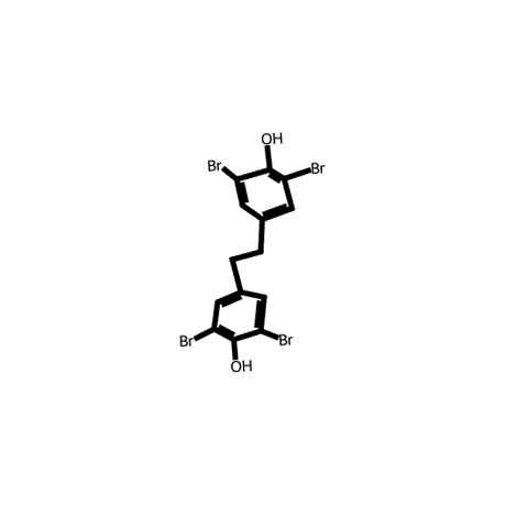 Oc1c(Br)cc(CCc2cc(Br)c(O)c(Br)c2)cc1Br